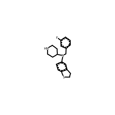 Fc1cccc(CN(c2ccc3c(c2)CCS3)C2CCNCC2)c1